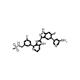 CS(=O)(=O)NCc1cc(F)cc(-c2nccc3[nH]c(-c4n[nH]c5cc(F)c(-c6cncc(N)c6)cc45)nc23)c1